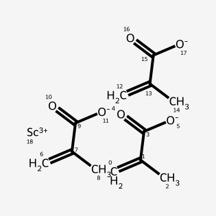 C=C(C)C(=O)[O-].C=C(C)C(=O)[O-].C=C(C)C(=O)[O-].[Sc+3]